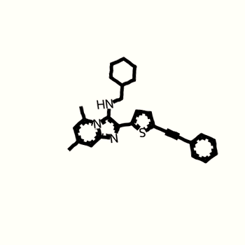 Cc1cc(C)n2c(NCC3CCCCC3)c(-c3ccc(C#Cc4ccccc4)s3)nc2c1